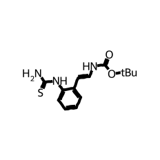 CC(C)(C)OC(=O)NC=Cc1ccccc1NC(N)=S